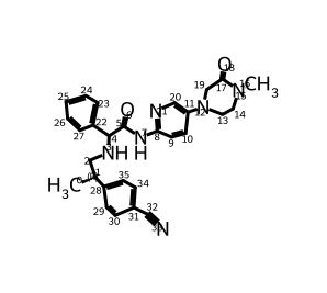 C[C@@H](CNC(C(=O)Nc1ccc(N2CCN(C)C(=O)C2)cn1)c1ccccc1)c1ccc(C#N)cc1